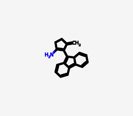 C=C1CCC(N)=C1C1=c2ccccc2=C2C=CC=CC21